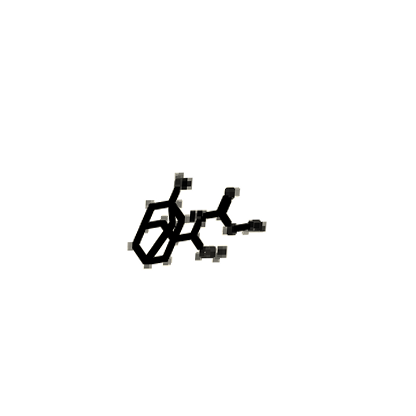 CC(C)(C)OC(=O)NC(C(=O)O)C12CC3CC(CC(O)(C3)C1)C2